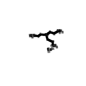 NCCN(CCN)CCN.[Cu+2]